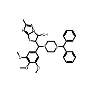 COc1cc(C(C2Sc3nc(C)nn3C2O)N2CCN(C(c3ccccc3)c3ccccc3)CC2)cc(OC)c1OC